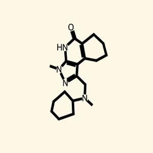 CN(Cc1nn(C)c2[nH]c(=O)c3c(c12)CCCC3)C1CCCCC1